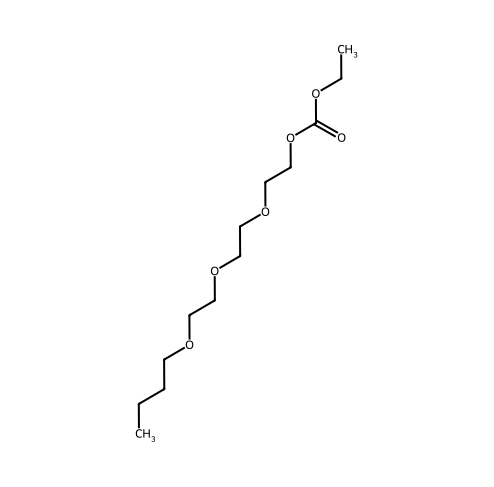 CCCCOCCOCCOCCOC(=O)OCC